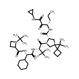 CCC[C@H](NC(=O)[C@@H]1C[C@@]2(CN1C(=O)[C@@H](NC(=O)[C@@H](NC(=O)C1CCN1C(C)(C)C)C1CCCCC1)C(C)(C)C)C(C)(C)C21CCC1)C(=O)C(=O)NC1CC1